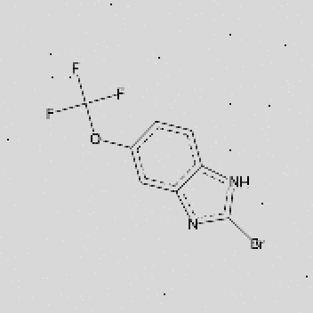 FC(F)(F)Oc1ccc2[nH]c(Br)nc2c1